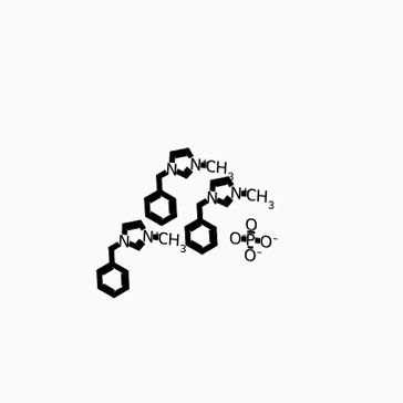 C[n+]1ccn(Cc2ccccc2)c1.C[n+]1ccn(Cc2ccccc2)c1.C[n+]1ccn(Cc2ccccc2)c1.O=P([O-])([O-])[O-]